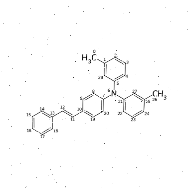 Cc1cccc(N(c2ccc(C=Cc3ccccc3)cc2)c2cccc(C)c2)c1